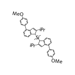 COc1ccc(-c2cccc3c2C=C(C(C)C)C3[Si](C)(C)C2C(C(C)C)=Cc3c(-c4ccc(OC)cc4)cccc32)cc1